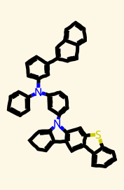 C1=c2c(n(-c3cccc(N(c4ccccc4)c4cccc(-c5ccc6ccccc6c5)c4)c3)c3cc4sc5ccccc5c4cc23)=CCC1